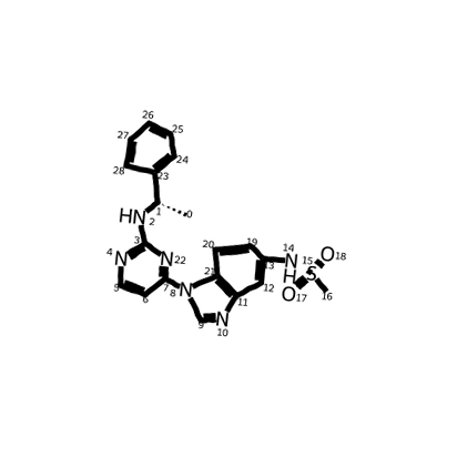 C[C@H](Nc1nccc(-n2cnc3cc(NS(C)(=O)=O)ccc32)n1)c1ccccc1